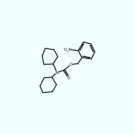 O=C(OCc1ccccc1[N+](=O)[O-])N(C1CCCCC1)C1CCCCC1